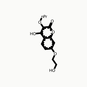 CCCOc1c(O)c2ccc(OCCO)cc2oc1=O